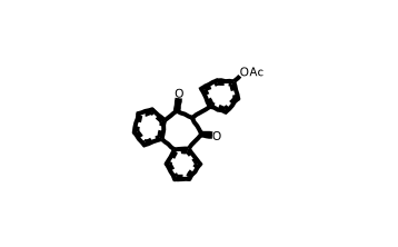 CC(=O)Oc1ccc(C2C(=O)c3ccccc3-c3ccccc3C2=O)cc1